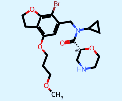 COCCCOc1cc(CN(C(=O)[C@H]2CNCCO2)C2CC2)c(Br)c2c1CCO2